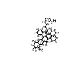 CC[N+]1=c2cc3c(cc2C(C)CC1(C)C)=C(c1ccccc1C(=O)N(C)CCCC(=O)O)c1cc2c4c(c1C3(C)C)CCCN4CCC2